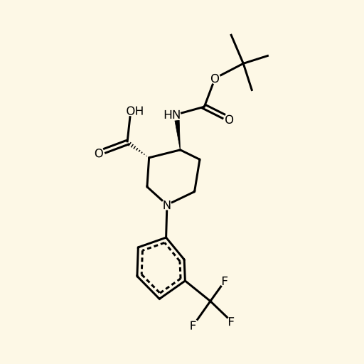 CC(C)(C)OC(=O)N[C@H]1CCN(c2cccc(C(F)(F)F)c2)C[C@@H]1C(=O)O